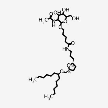 CCCCCCC(CCCCCC)OC[C@@H]1CC[C@H](CCCNC(=O)CCCCOC2OC(CO)C(O)C(O)C2NC(C)=O)O1